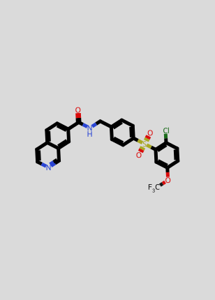 O=C(NCc1ccc(S(=O)(=O)c2cc(OC(F)(F)F)ccc2Cl)cc1)c1ccc2ccncc2c1